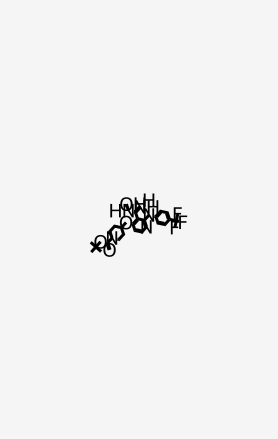 CC(C)(C)OC(=O)N1CCC(Oc2ccnc(Nc3ccc(C(F)(F)F)cc3)c2C(=N)NO)CC1